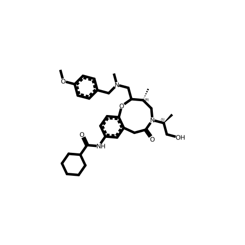 COc1ccc(CN(C)CC2Oc3ccc(NC(=O)C4CCCCC4)cc3CC(=O)N([C@@H](C)CO)C[C@H]2C)cc1